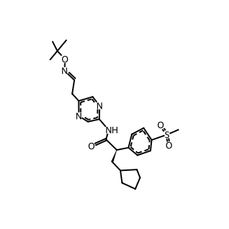 CC(C)(C)ON=CCc1cnc(NC(=O)[C@H](CC2CCCC2)c2ccc(S(C)(=O)=O)cc2)cn1